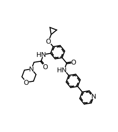 O=C(CN1CCOCC1)Nc1cc(C(=O)Nc2ccc(-c3cccnc3)cc2)ccc1OC1CC1